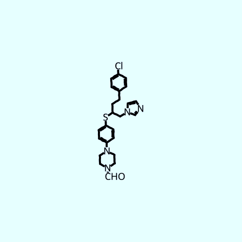 O=CN1CCN(c2ccc(SC(CCc3ccc(Cl)cc3)Cn3ccnc3)cc2)CC1